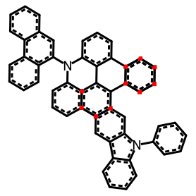 c1ccc(-c2ccccc2-c2c(-c3ccccc3)cccc2N(c2cccc(-c3ccc4c(c3)c3ccccc3n4-c3ccccc3)c2)c2cc3ccccc3c3ccccc23)cc1